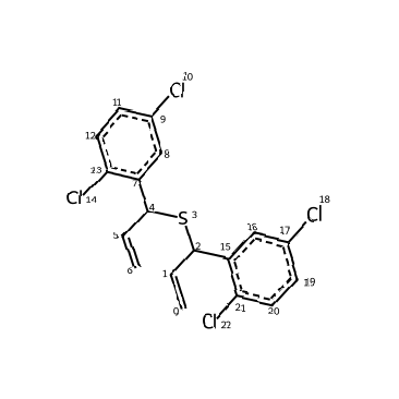 C=CC(SC(C=C)c1cc(Cl)ccc1Cl)c1cc(Cl)ccc1Cl